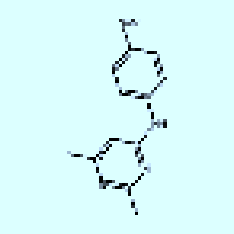 CNc1ccc(Nc2cc(C)nc(C)n2)cc1